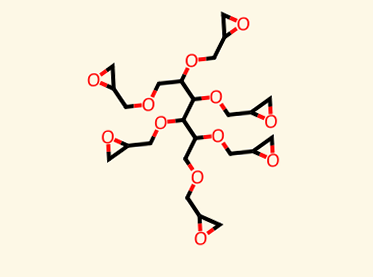 C(OCC(OCC1CO1)C(OCC1CO1)C(OCC1CO1)C(COCC1CO1)OCC1CO1)C1CO1